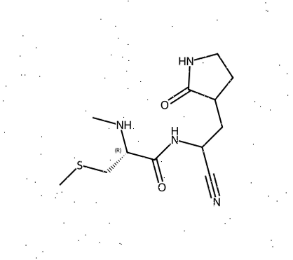 CN[C@@H](CSC)C(=O)NC(C#N)CC1CCNC1=O